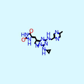 Cc1cnc(CNc2nc(NC3CC3)n3ncc(/C=C4\NC(=O)NC4=O)c3n2)cn1